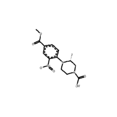 COC(=O)c1ccc(N2CCN(C(=O)O)C[C@H]2C)c([N+](=O)[O-])c1